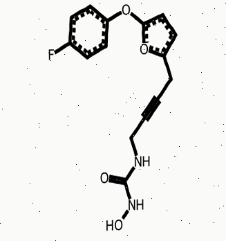 O=C(NO)NCC#CCc1ccc(Oc2ccc(F)cc2)o1